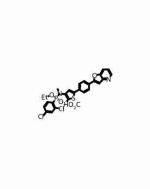 CCOP(=O)(c1ccc(Cl)cc1Cl)N(C)c1cc(-c2ccc(-c3cc4ncccc4o3)cc2)sc1C(=O)O